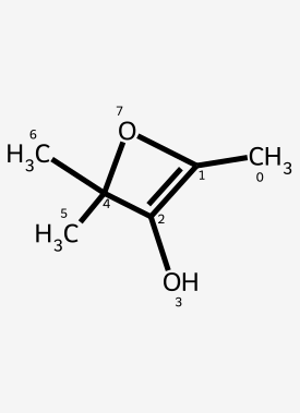 CC1=C(O)C(C)(C)O1